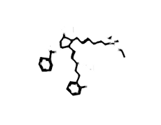 CCOP(C)(=O)CCCC=CCC1C(O)CC(OC(=O)c2ccccc2)C1C=CC(CCc1ccccc1F)O[SiH3]